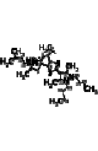 C=Cc1cc(S)c(CC(=C)NCCC(=C)C)c2c1SC(=C1C(=C)N(CCCC)N(CCCC)C1=C)S2